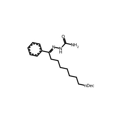 CCCCCCCCCCCCCCCCCC(=NNC(N)=O)c1ccccc1